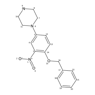 O=[N+]([O-])c1cc(N2CC[N]CC2)ccc1OCc1ccccc1